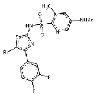 CC(=O)Nc1cnc(S(=O)(=O)Nc2nc(-c3ccc(F)c(F)c3)c(Br)s2)c(C)c1